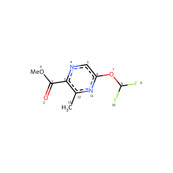 COC(=O)c1ncc(OC(F)F)nc1C